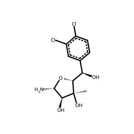 C[C@@]1(O)[C@@H]([C@H](O)c2ccc(Cl)c(Cl)c2)O[C@@H](N)[C@@H]1O